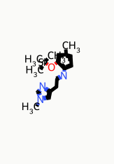 Cc1ccc(N=CCc2cn(C)cn2)c(O[Si](C)(C)C)c1